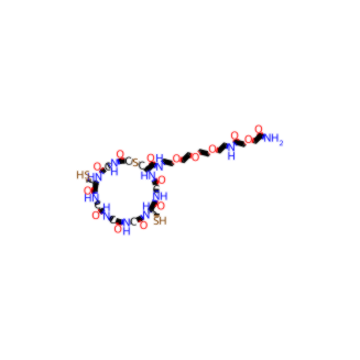 NC(=O)COCC(=O)NCCOCCOCCOCCNC(=O)C1CSCC(=O)NCC(=O)N[C@@H](CS)C(=O)NCC(=O)NCC(=O)NCC(=O)N[C@@H](CS)C(=O)NCC(=O)N1